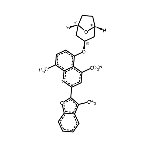 Cc1c(-c2cc(C(=O)O)c3c(O[C@@H]4C[C@H]5CC[C@@H](C4)O5)ccc(C)c3n2)oc2ccccc12